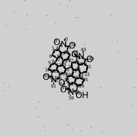 CN1C(=O)c2ccc3c4ccc5c6c(cc(-c7cc8c9c(ccc%10c%11ccc%12c%13c(ccc(c7c9%10)c%13%11)C(=O)N(C)C%12O)C(=O)N(C)C8=O)c(c7ccc(c2c37)C1=O)c64)C(=O)N(C)C5=O